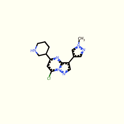 Cn1cc(-c2cnn3c(Cl)cc(C4CCCNC4)nc23)cn1